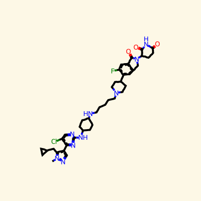 Cn1ncc(-c2nc(NC3CCC(NCCCCCN4CCC(c5cc6c(cc5F)C(=O)N(C5CCC(=O)NC5=O)C6)CC4)CC3)ncc2Cl)c1CC1CC1